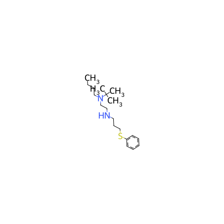 CCCCN(CCNCCCSc1ccccc1)C(C)(C)C